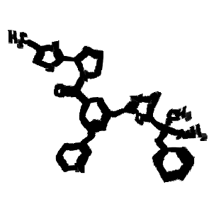 Cc1csc([C@H]2CCCN2C(=O)c2cc(-c3cccnc3)cc(-c3nnc([C@@](C)([AsH2])Cc4ccccc4)o3)c2)n1